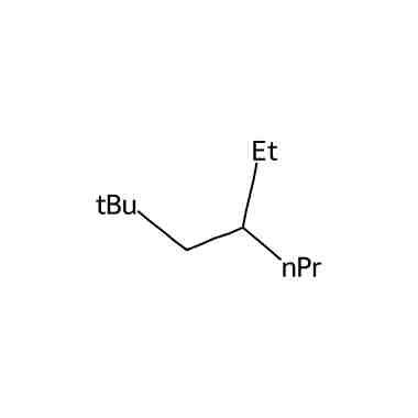 CCCC(CC)CC(C)(C)C